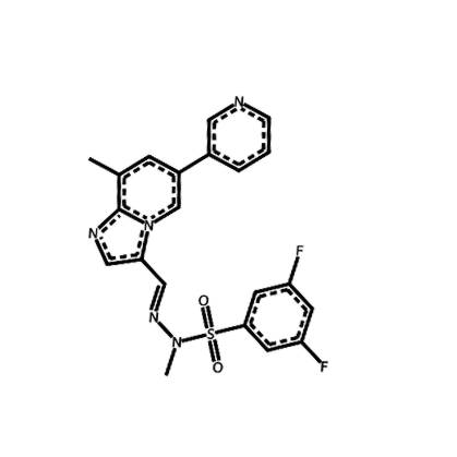 Cc1cc(-c2cccnc2)cn2c(C=NN(C)S(=O)(=O)c3cc(F)cc(F)c3)cnc12